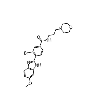 COc1ccc2nc(-c3ccc(C(=O)NCCCN4CCOCC4)cc3Br)[nH]c2c1